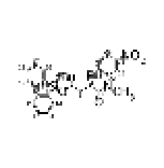 CN(C(=O)CCCO[Si](c1ccccc1)(c1ccccc1)C(C)(C)C)c1cc([N+](=O)[O-])ccc1F